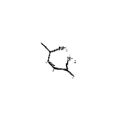 CC(N)/C=C\C(C)N